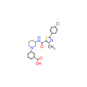 Cc1nc(-c2ccc(Cl)cc2)sc1C(=O)N[C@@H]1CCCN(c2cccc(C(=O)O)c2)C1